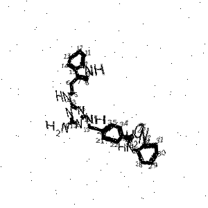 Nc1nc(NCCc2c[nH]c3ccccc23)nc(NCc2ccc(C(=O)Nc3ccccc3N)cc2)n1